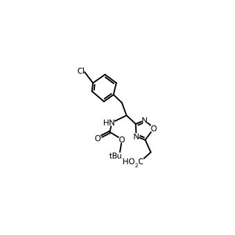 CC(C)(C)OC(=O)NC(Cc1ccc(Cl)cc1)c1noc(CC(=O)O)n1